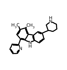 Cc1cc(-c2ccccn2)c2[nH]c3ccc(C4CCCNC4)cc3c2c1C